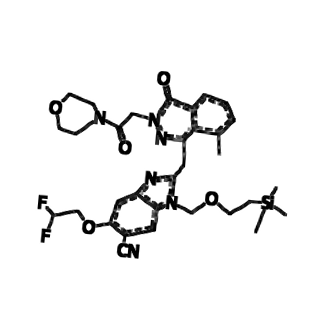 Cc1cccc2c(=O)n(CC(=O)N3CCOCC3)nc(Cc3nc4cc(OCC(F)F)c(C#N)cc4n3COCC[Si](C)(C)C)c12